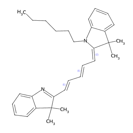 CCCCCCN1\C(=C/C=C/C=C/C2=Nc3ccccc3C2(C)C)C(C)(C)c2ccccc21